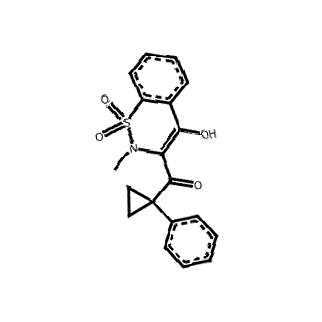 CN1C(C(=O)C2(c3ccccc3)CC2)=C(O)c2ccccc2S1(=O)=O